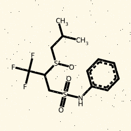 CC(C)C[S+]([O-])C(CS(=O)(=O)Nc1ccccc1)C(F)(F)F